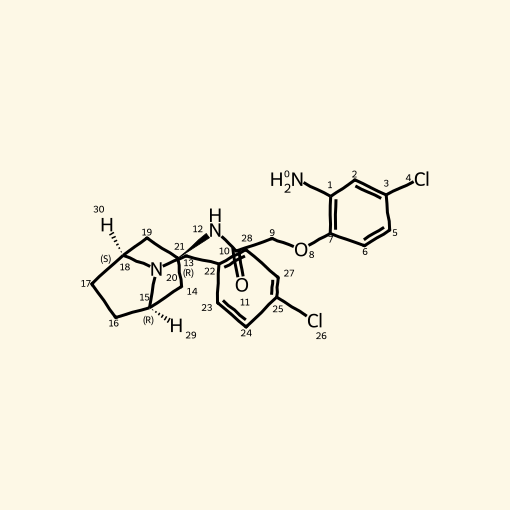 Nc1cc(Cl)ccc1OCC(=O)N[C@H]1C[C@H]2CC[C@@H](C1)N2Cc1ccc(Cl)cc1